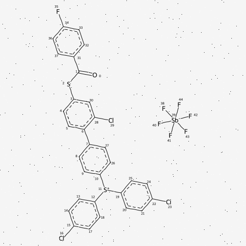 O=C(Sc1ccc(-c2ccc([S+](c3ccc(Cl)cc3)c3ccc(Cl)cc3)cc2)c(Cl)c1)c1ccc(F)cc1.[F][Sb-]([F])([F])([F])([F])[F]